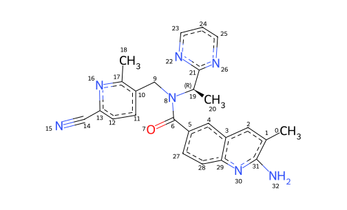 Cc1cc2cc(C(=O)N(Cc3ccc(C#N)nc3C)[C@H](C)c3ncccn3)ccc2nc1N